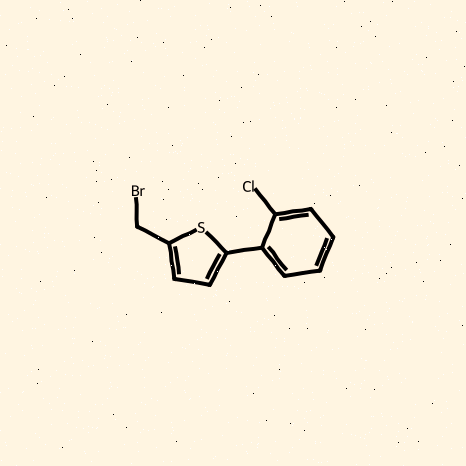 Clc1ccccc1-c1ccc(CBr)s1